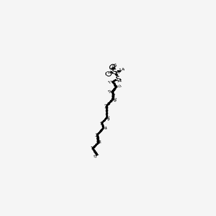 CCCCCCCCCCCCSS(C)(=O)=O